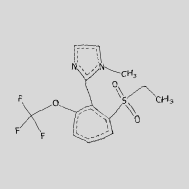 CCS(=O)(=O)c1cccc(OC(F)(F)F)c1-c1nccn1C